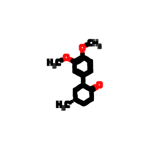 COc1ccc(C2C[C@@H](C)CCC2=O)cc1OC